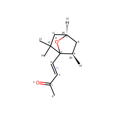 CC(=O)/C=C/C12O[C@H](C[C@H]1C)CC2(C)C